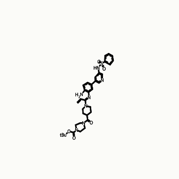 C=C/C(=N\c1cc(-c2cncc(NS(=O)(=O)c3ccccc3)c2)ccc1N)N1CCC(C(=O)N2CCN(C(=O)OC(C)(C)C)CC2)CC1